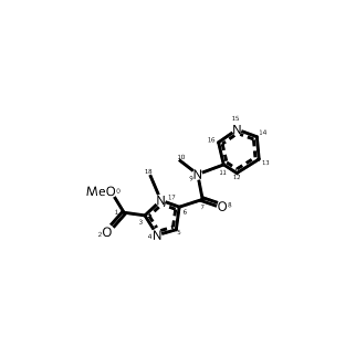 COC(=O)c1ncc(C(=O)N(C)c2cccnc2)n1C